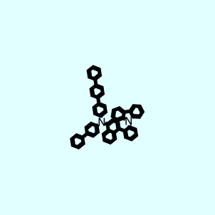 c1ccc(-c2ccc(-c3ccc(N(c4ccc(-c5ccccc5)cc4)c4ccc(-c5ccccc5-n5c6ccccc6c6ccccc65)c5ccccc45)cc3)cc2)cc1